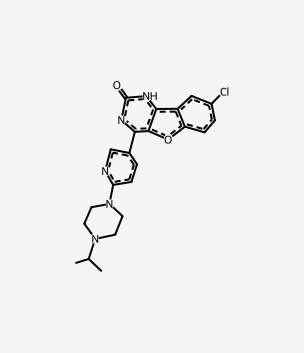 CC(C)N1CCN(c2ccc(-c3nc(=O)[nH]c4c3oc3ccc(Cl)cc34)cn2)CC1